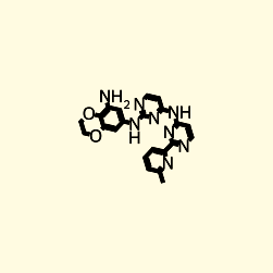 Cc1cccc(-c2nccc(Nc3ccnc(Nc4cc(N)c5c(c4)OCCO5)n3)n2)n1